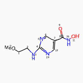 COCCNc1ncc(C(=O)NO)cn1